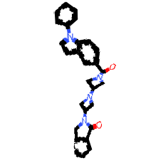 O=C(c1ccc2c(ccn2-c2ccccc2)c1)N1CC(N2CC(N3Cc4ccccc4C3=O)C2)C1